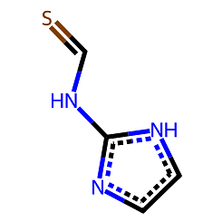 S=CNc1ncc[nH]1